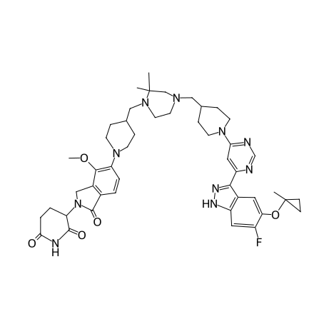 COc1c(N2CCC(CN3CCN(CC4CCN(c5cc(-c6n[nH]c7cc(F)c(OC8(C)CC8)cc67)ncn5)CC4)CC3(C)C)CC2)ccc2c1CN(C1CCC(=O)NC1=O)C2=O